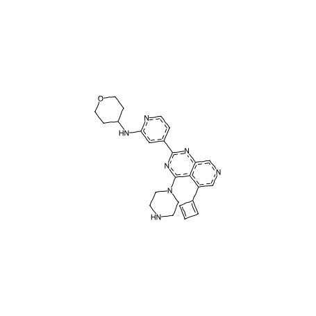 C1=CC(c2cncc3nc(-c4ccnc(NC5CCOCC5)c4)nc(N4CCNCC4)c23)=C1